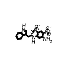 Nc1cc(NCCc2c[nH]c3ccccc23)c([N+](=O)[O-])cc1[N+](=O)[O-]